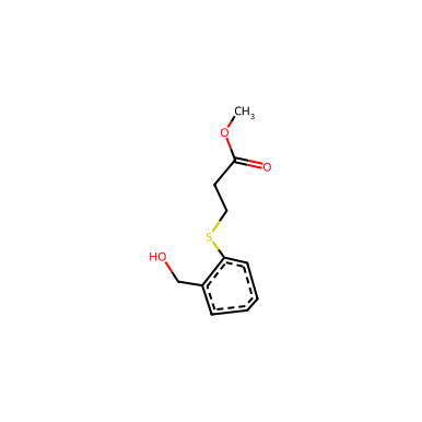 COC(=O)CCSc1ccccc1CO